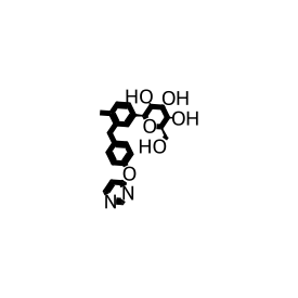 Cc1ccc([C@@H]2O[C@H](CO)[C@@H](O)[C@H](O)[C@H]2O)cc1Cc1ccc(Oc2ccncn2)cc1